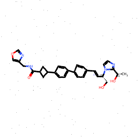 C[C@H](O)c1nccn1[C@@H](/C=C/c1ccc(-c2ccc(C3CC(C(=O)NCc4cocn4)C3)cc2)cc1)CO